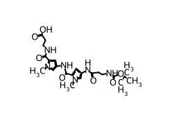 Cn1cc(NC(=O)c2cc(NC(=O)CCNC(=O)OC(C)(C)C)cn2C)cc1C(=O)NCCC(=O)O